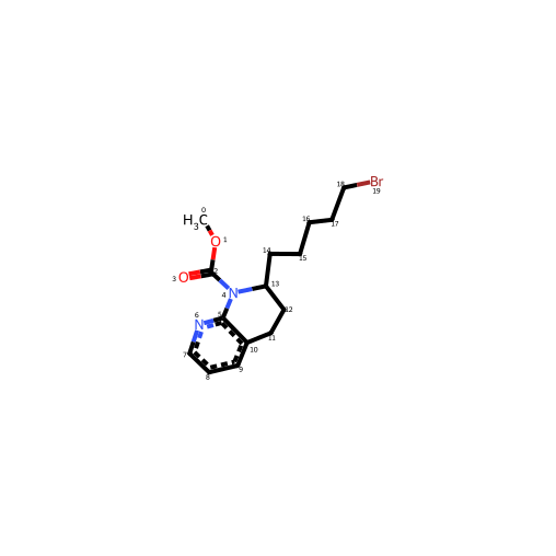 COC(=O)N1c2ncccc2CCC1CCCCCBr